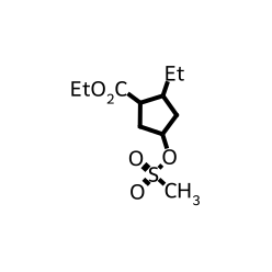 CCOC(=O)C1CC(OS(C)(=O)=O)CC1CC